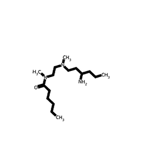 CCCCCC(=O)N(C)CCN(C)CCC(N)CCC